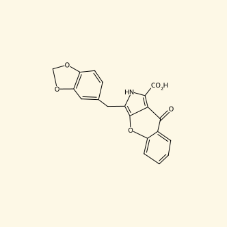 O=C(O)c1[nH]c(Cc2ccc3c(c2)OCO3)c2oc3ccccc3c(=O)c12